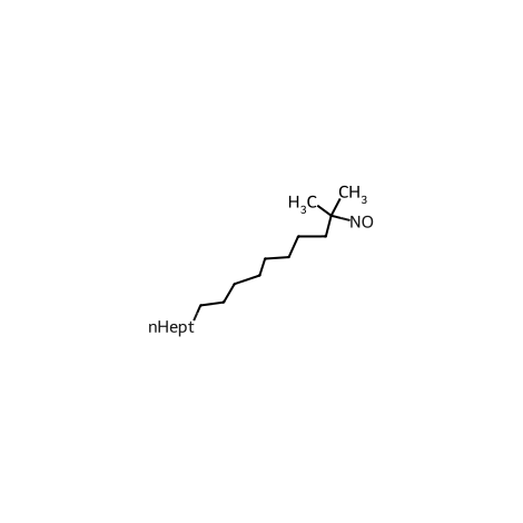 CCCCCCCCCCCCCCCC(C)(C)N=O